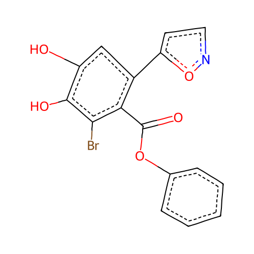 O=C(Oc1ccccc1)c1c(-c2ccno2)cc(O)c(O)c1Br